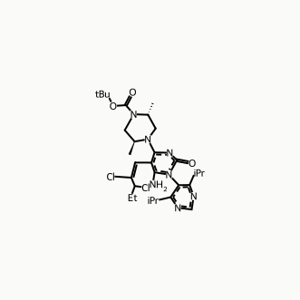 CCC(Cl)/C(Cl)=C\c1c(N2C[C@@H](C)N(C(=O)OC(C)(C)C)C[C@@H]2C)nc(=O)n(-c2c(C(C)C)ncnc2C(C)C)c1N